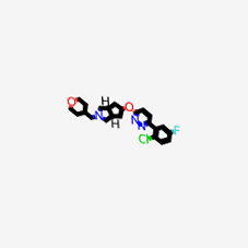 Fc1ccc(Cl)c(-c2ccc(OC3C[C@@H]4CN(CC5CCOCC5)C[C@@H]4C3)nn2)c1